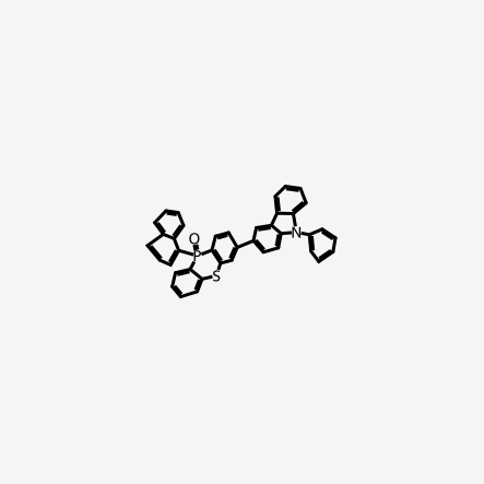 O=P1(c2cccc3ccccc23)c2ccccc2Sc2cc(-c3ccc4c(c3)c3ccccc3n4-c3ccccc3)ccc21